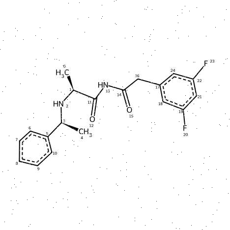 C[C@H](N[C@@H](C)c1ccccc1)C(=O)NC(=O)Cc1cc(F)cc(F)c1